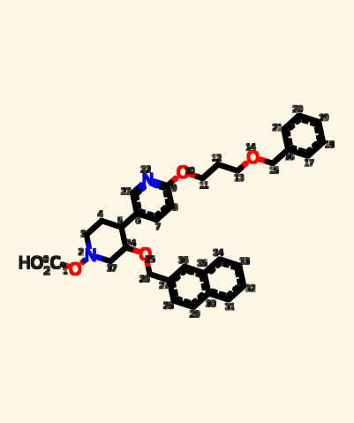 O=C(O)ON1CCC(c2ccc(OCCCOCc3ccccc3)nc2)C(OCc2ccc3ccccc3c2)C1